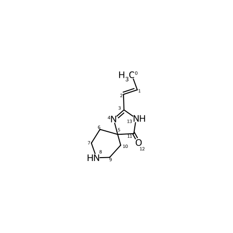 C/C=C/C1=NC2(CCNCC2)C(=O)N1